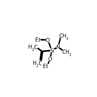 C=C(C)[Si](OCC)(OCC)N(C)C